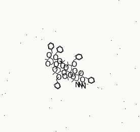 COC1[C@H](O[C@@H]2C(OC(C)=O)[C@H](O[C@@H]3C(OC(C)=O)[C@H](OC4[C@H](C)OC(C)[C@H](OCc5ccccc5)[C@@H]4OCc4ccccc4)OC(C)[C@@H]3OCc3ccccc3)OC(C)[C@@H]2OCc2ccccc2)OC(C)[C@@H](N=[N+]=[N-])[C@H]1OCc1ccccc1